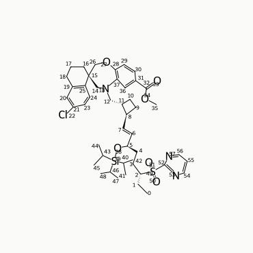 CC[C@H](CC[C@H](/C=C/[C@@H]1CC[C@H]1CN1C[C@@]2(CCCc3cc(Cl)ccc32)COc2ccc(C(=O)OC)cc21)O[Si](C(C)C)(C(C)C)C(C)C)S(=O)(=O)c1ncccn1